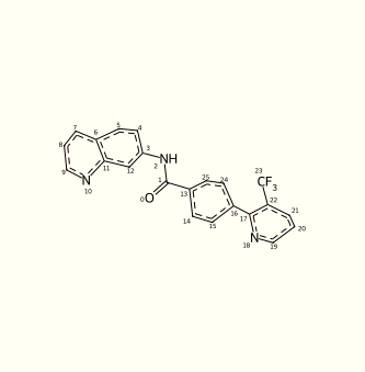 O=C(Nc1ccc2cccnc2c1)c1ccc(-c2ncccc2C(F)(F)F)cc1